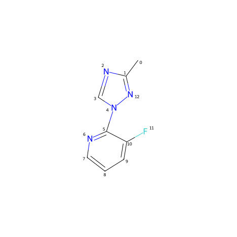 Cc1ncn(-c2ncccc2F)n1